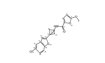 CSc1ccc(C(=O)NC23CC(c4nc5cc(Cl)ccc5o4)(C2)C3)o1